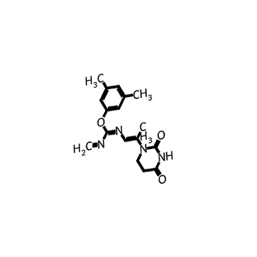 C=N/C(=N\C=C(/C)N1CCC(=O)NC1=O)Oc1cc(C)cc(C)c1